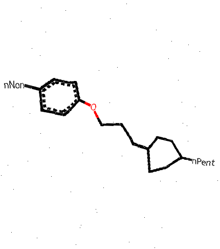 CCCCCCCCCc1ccc(OCCCC2CCC(CCCCC)CC2)cc1